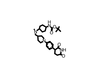 CN(CC1CCN(c2ccc(C3CCC(=O)NC3=O)cc2)CC1)C1CCC(NC(=O)OC(C)(C)C)CC1